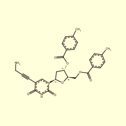 Cc1ccc(C(=O)OC[C@H]2O[C@@H](n3cc(C#CCN)c(=O)[nH]c3=O)C[C@@H]2OC(=O)c2ccc(C)cc2)cc1